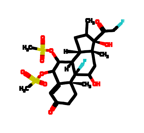 CC1C[C@H]2[C@@H]3C(OS(C)(=O)=O)C(OS(C)(=O)=O)C4=CC(=O)CC[C@]4(C)[C@@]3(F)C(O)C[C@]2(C)[C@@]1(O)C(=O)CF